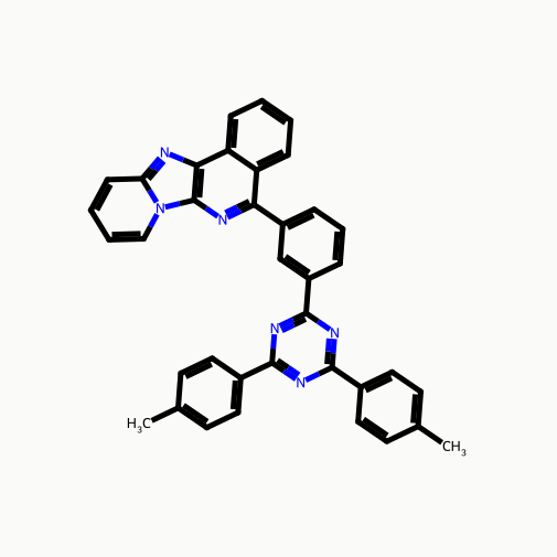 Cc1ccc(-c2nc(-c3ccc(C)cc3)nc(-c3cccc(-c4nc5c(nc6ccccn65)c5ccccc45)c3)n2)cc1